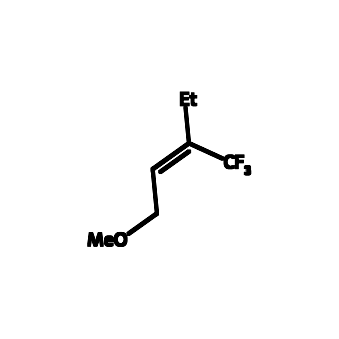 [CH2]OC/C=C(/CC)C(F)(F)F